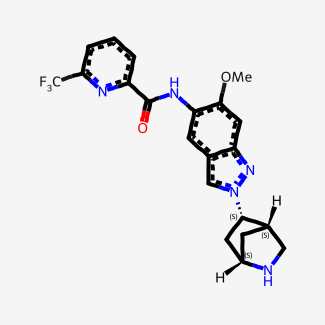 COc1cc2nn([C@H]3C[C@@H]4C[C@H]3CN4)cc2cc1NC(=O)c1cccc(C(F)(F)F)n1